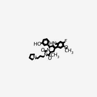 COc1cc2c3c([nH]c2cc1F)C(c1cccc(O)c1)N1C(=O)N(CCCN2CCCC2)C(=O)C1(C)C3